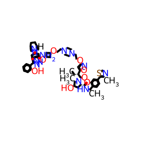 Cc1ncsc1-c1ccc([C@H](C)NC(=O)[C@@H]2C[C@@H](O)CN2C(=O)[C@@H](c2cc(OCCN3CCN(CCOC4CC(Oc5cc(N6C7CC[C@@H]6CN(c6cc(-c8ccccc8O)nnc6N)C7)ccn5)C4)CC3)no2)C(C)C)cc1